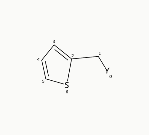 [Y][CH2]c1cccs1